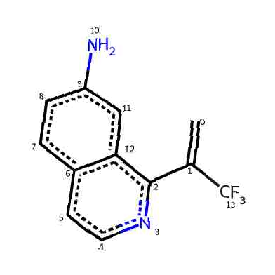 C=C(c1nccc2ccc(N)cc12)C(F)(F)F